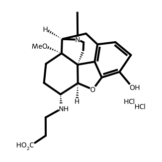 CO[C@@]12CC[C@@H](NCCC(=O)O)[C@@H]3Oc4c(O)ccc5c4[C@@]31CCN(C)[C@@H]2C5.Cl.Cl